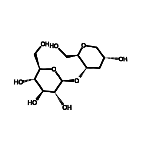 OC[C@H]1O[C@@H](O[C@H]2C[C@@H](O)CO[C@@H]2CO)[C@H](O)[C@@H](O)[C@@H]1O